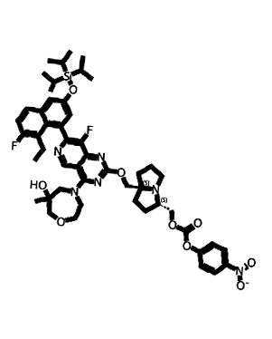 CCc1c(F)ccc2cc(O[Si](C(C)C)(C(C)C)C(C)C)cc(-c3ncc4c(N5CCOCC(C)(O)C5)nc(OC[C@@]56CCCN5[C@H](COC(=O)Oc5ccc([N+](=O)[O-])cc5)CC6)nc4c3F)c12